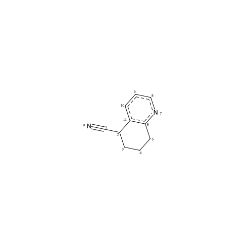 N#CC1CCCc2ncccc21